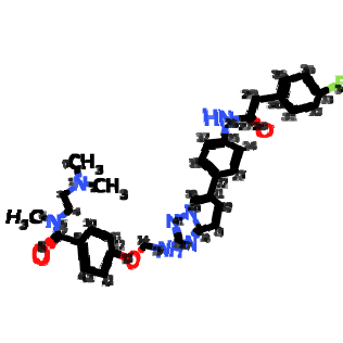 CN(C)CCN(C)C(=O)c1ccc(OCNc2nc3ccc(-c4ccc(NC(=O)Cc5ccc(F)cc5)cc4)cn3n2)cc1